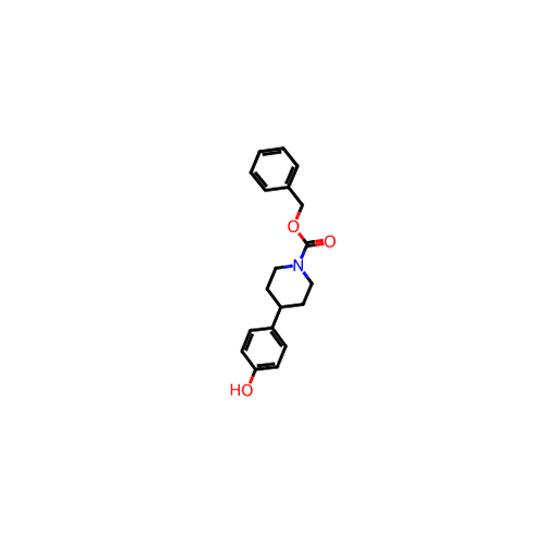 O=C(OCc1ccccc1)N1CCC(c2ccc(O)cc2)CC1